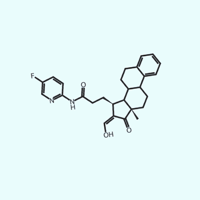 C[C@]12CCC3c4ccccc4CCC3C1[C@H](CCC(=O)Nc1ccc(F)cn1)/C(=C/O)C2=O